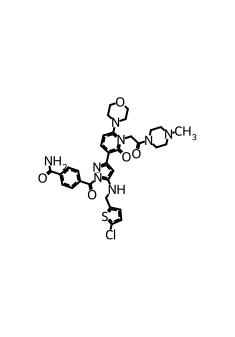 CN1CCN(C(=O)Cn2c(N3CCOCC3)ccc(-c3cc(NCc4ccc(Cl)s4)n(C(=O)c4ccc(C(N)=O)cc4)n3)c2=O)CC1